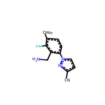 COc1ccc(-n2ccc(C#N)n2)c(CN)c1F